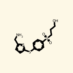 NCc1ccc(Sc2ccc(S(=O)(=O)CCCO)cc2)s1